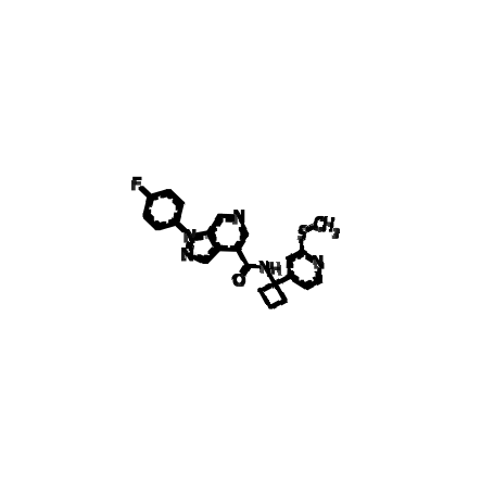 CSc1cc(C2(NC(=O)c3cncc4c3cnn4-c3ccc(F)cc3)CCC2)ccn1